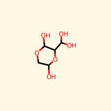 OC1COC(O)C(C(O)O)O1